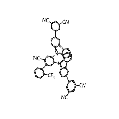 N#Cc1cc(C#N)cc(-c2ccc3c(c2)c2ccccc2n3-c2cc(C#N)c(-c3ccccc3C(F)(F)F)cc2-n2c3ccccc3c3cc(-c4cc(C#N)cc(C#N)c4)ccc32)c1